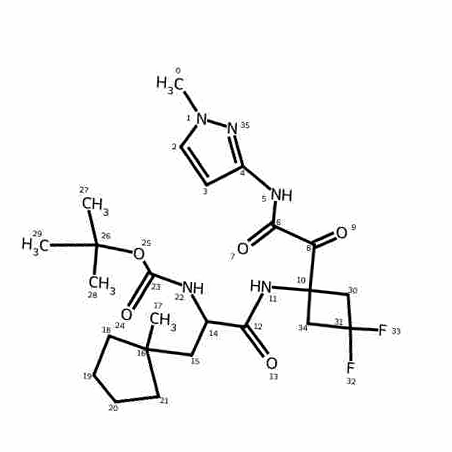 Cn1ccc(NC(=O)C(=O)C2(NC(=O)C(CC3(C)CCCC3)NC(=O)OC(C)(C)C)CC(F)(F)C2)n1